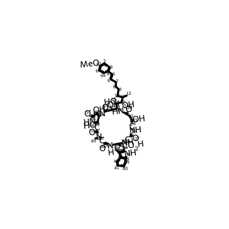 COc1ccc(/C=C/CCCCC(C)[C@H](O)[C@@H](O)C2NC(=O)C[C@@H](O)CNC(=O)CNC(=O)[C@@H](Cc3c(C(=O)O)[nH]c4ccccc34)NC(=O)CN(C)C(=O)C[C@@]3(O)NC(=O)[C@H](O)C3NC(=O)[C@H]2O)cc1